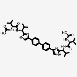 CC(C)[C@H](NC(=O)O)C(=O)N[C@H](c1nc(-c2ccc(-c3ccc(-c4c[nH]c([C@@H](NC(=O)[C@@H](NC(=O)O)C(C)C)C(C)C)n4)cc3)cc2)c[nH]1)C(C)C